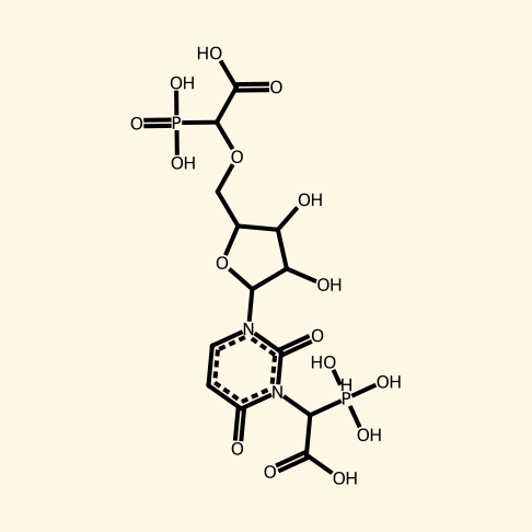 O=C(O)C(OCC1OC(n2ccc(=O)n(C(C(=O)O)[PH](O)(O)O)c2=O)C(O)C1O)P(=O)(O)O